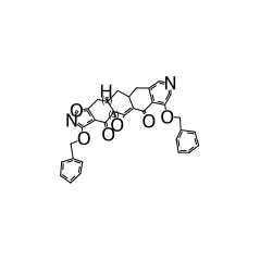 O=C1C2=C3O[C@]34C(=O)c3c(OCc5ccccc5)noc3C[C@@H]4CC2Cc2cncc(OCc3ccccc3)c21